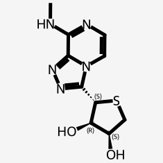 CNc1nccn2c([C@@H]3SC[C@@H](O)[C@H]3O)nnc12